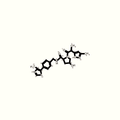 Cc1cc(C(C)C(=O)N2CC(O)CC2C(=O)NCc2ccc(-c3scnc3C)cc2)on1